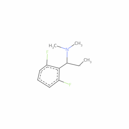 C[CH]C(c1c(F)cccc1F)N(C)C